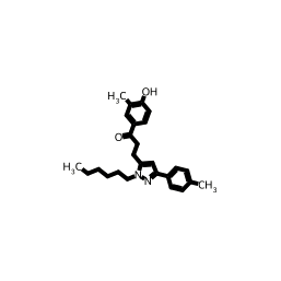 CCCCCCn1nc(-c2ccc(C)cc2)cc1CCC(=O)c1ccc(O)c(C)c1